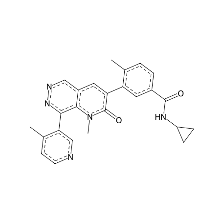 Cc1ccc(C(=O)NC2CC2)cc1-c1cc2cnnc(-c3cnccc3C)c2n(C)c1=O